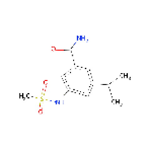 CC(C)c1cc(NS(C)(=O)=O)cc(C(N)=O)c1